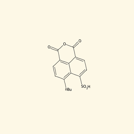 CCCCc1ccc2c3c(ccc(S(=O)(=O)O)c13)C(=O)OC2=O